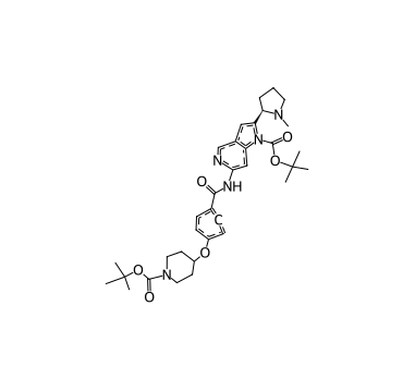 CN1CCC[C@@H]1c1cc2cnc(NC(=O)c3ccc(OC4CCN(C(=O)OC(C)(C)C)CC4)cc3)cc2n1C(=O)OC(C)(C)C